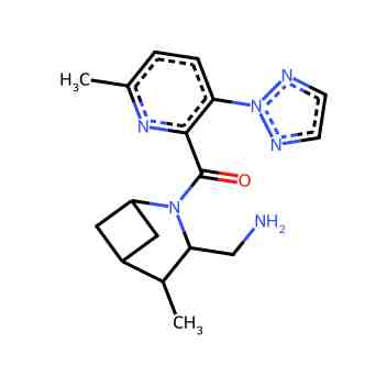 Cc1ccc(-n2nccn2)c(C(=O)N2C3CC(C3)C(C)C2CN)n1